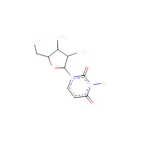 COCC1OC(n2ccc(=O)n([N+](=O)[O-])c2=O)C(OC)C1OC